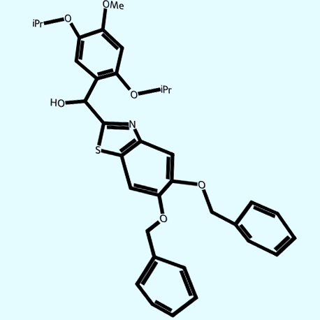 COc1cc(OC(C)C)c(C(O)c2nc3cc(OCc4ccccc4)c(OCc4ccccc4)cc3s2)cc1OC(C)C